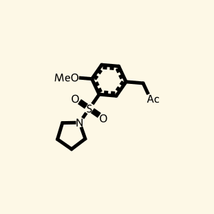 COc1ccc(CC(C)=O)cc1S(=O)(=O)N1CCCC1